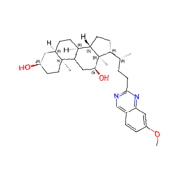 COc1ccc2cnc(CC[C@@H](C)[C@H]3CC[C@H]4[C@@H]5CC[C@@H]6C[C@H](O)CC[C@]6(C)C5C[C@H](O)[C@]34C)nc2c1